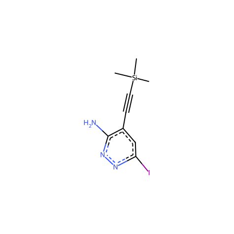 C[Si](C)(C)C#Cc1cc(I)nnc1N